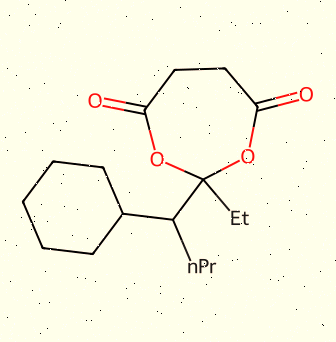 CCCC(C1CCCCC1)C1(CC)OC(=O)CCC(=O)O1